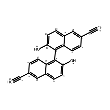 C#Cc1ccc2c(-c3c(O)ccc4cc(C#C)ccc34)c(O)ccc2c1